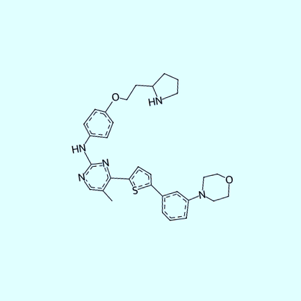 Cc1cnc(Nc2ccc(OCCC3CCCN3)cc2)nc1-c1ccc(-c2cccc(N3CCOCC3)c2)s1